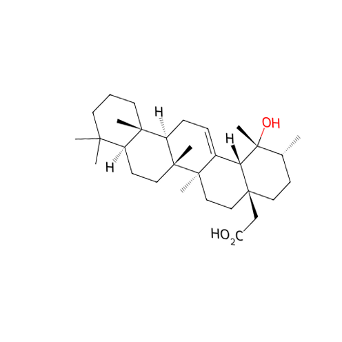 C[C@@H]1CC[C@]2(CC(=O)O)CC[C@]3(C)C(=CC[C@@H]4[C@@]5(C)CCCC(C)(C)[C@@H]5CC[C@]43C)[C@@H]2[C@]1(C)O